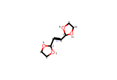 C(=C\C1OCCO1)/C1OCCO1